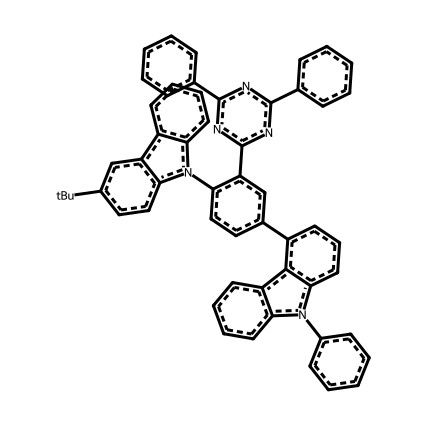 CC(C)(C)c1ccc2c(c1)c1ccccc1n2-c1ccc(-c2cccc3c2c2ccccc2n3-c2ccccc2)cc1-c1nc(-c2ccccc2)nc(-c2ccccc2)n1